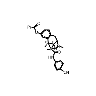 CC(C)C(=O)Oc1ccc2c(c1)[C@@]1(C)CCN(C)C(C2)[C@@H]1N(C)C(=O)Nc1ccc(C#N)cc1